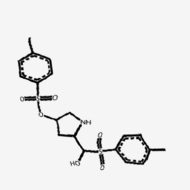 Cc1ccc(S(=O)(=O)OC2CNC(C(O)S(=O)(=O)c3ccc(C)cc3)C2)cc1